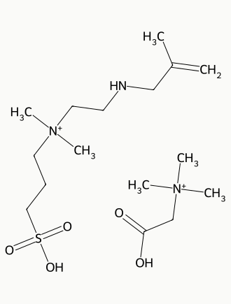 C=C(C)CNCC[N+](C)(C)CCCS(=O)(=O)O.C[N+](C)(C)CC(=O)O